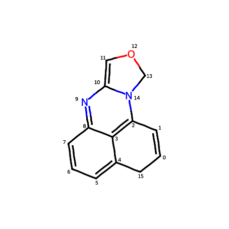 C1=CC2=c3c(cccc3=NC3=COCN32)C1